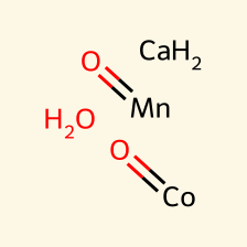 O.[CaH2].[O]=[Co].[O]=[Mn]